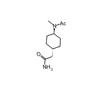 CC(=O)N(C)[C@H]1CC[C@H](CC(N)=O)CC1